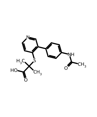 CC(=O)Nc1ccc(-c2cnccc2SC(C)(C)C(=O)O)cc1